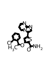 CC(Oc1cc(-c2cnc3ncccn23)sc1C(N)=O)c1ccccc1Cl